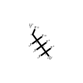 [Li+].[O-]C(F)(F)C(F)(F)C(F)(F)CF